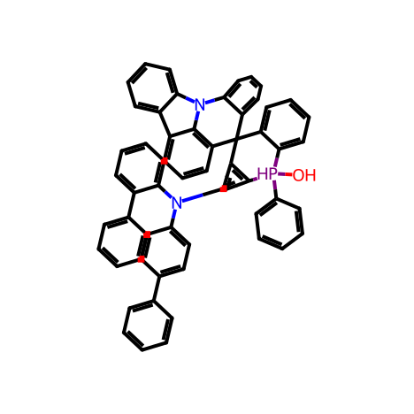 O[PH]1(c2ccccc2)c2ccccc2C2(c3ccccc3-n3c4ccccc4c4cccc2c43)c2cc(N(c3ccc(-c4ccccc4)cc3)c3ccccc3-c3ccccc3)ccc21